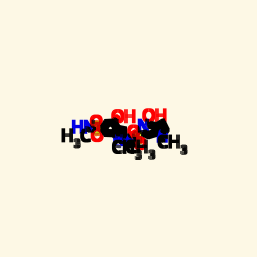 CNS(=O)(=O)c1cc(O)c2cc(N(C)S(=O)(=O)c3cc4c(ccn4C)c(O)n3)n(C)c2c1